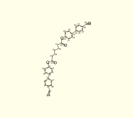 N#Cc1ccc(-c2ccc(OC(=O)CCCCCC(=O)Oc3ccc(-c4ccc(C#N)cc4)cc3)cc2)cc1